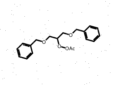 CC(=O)OOC(COCc1ccccc1)COCc1ccccc1